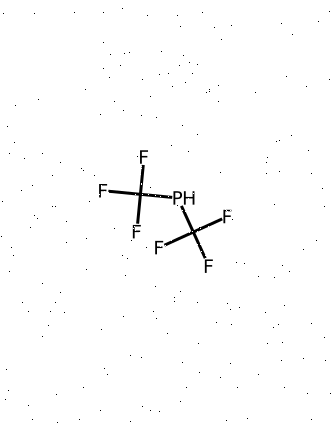 FC(F)(F)PC(F)(F)F